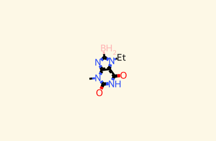 Bc1nc2c(c(=O)[nH]c(=O)n2C)n1CC